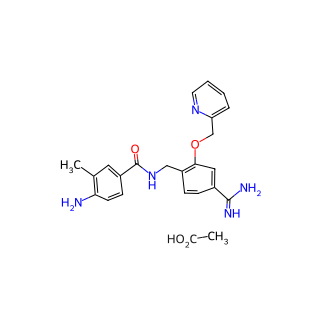 CC(=O)O.Cc1cc(C(=O)NCc2ccc(C(=N)N)cc2OCc2ccccn2)ccc1N